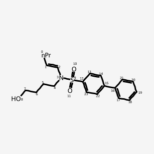 CCC/C=C/N(CCCCO)S(=O)(=O)c1ccc(-c2ccccc2)cc1